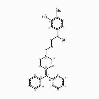 CC(C)(C)c1ccc(C(O)CCCN2CCC(=C(c3ccccc3)c3ccccc3)CC2)cc1O